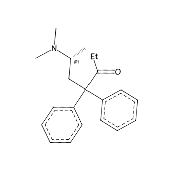 CCC(=O)C(C[C@@H](C)N(C)C)(c1ccccc1)c1ccccc1